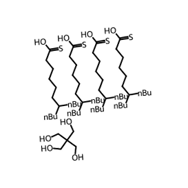 CCCCC(CCCC)CCCCCC(O)=S.CCCCC(CCCC)CCCCCC(O)=S.CCCCC(CCCC)CCCCCC(O)=S.CCCCC(CCCC)CCCCCC(O)=S.OCC(CO)(CO)CO